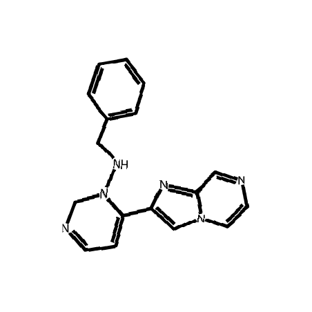 C1=NCN(NCc2ccccc2)C(c2cn3ccncc3n2)=C1